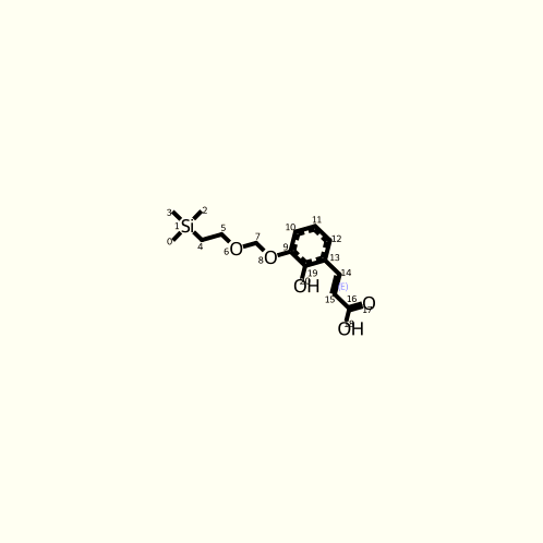 C[Si](C)(C)CCOCOc1cccc(/C=C/C(=O)O)c1O